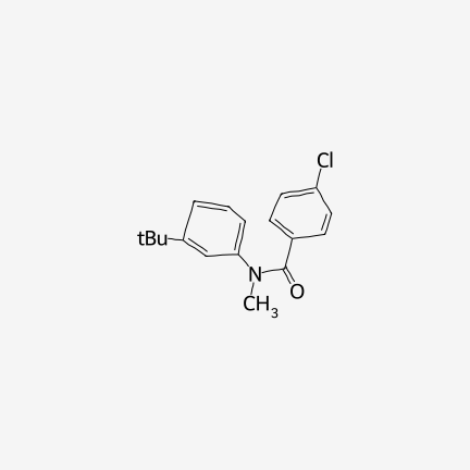 CN(C(=O)c1ccc(Cl)cc1)c1cccc(C(C)(C)C)c1